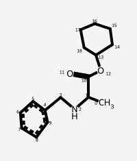 CC(NCc1ccccc1)C(=O)OC1CCCCC1